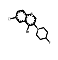 FC1CCN(c2cnc3ccc(Cl)cc3c2Br)CC1